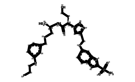 NS(=O)(=O)c1nc2cc(OCc3cn([C@@H](CCO)C(=O)N[C@@H](CSCc4cccc(OCCF)c4)C(=O)O)nn3)ccc2s1